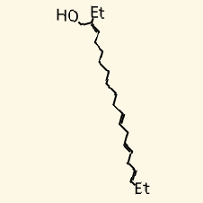 CCC=CCC=CCC=CCCCCCCCC=C(CC)CO